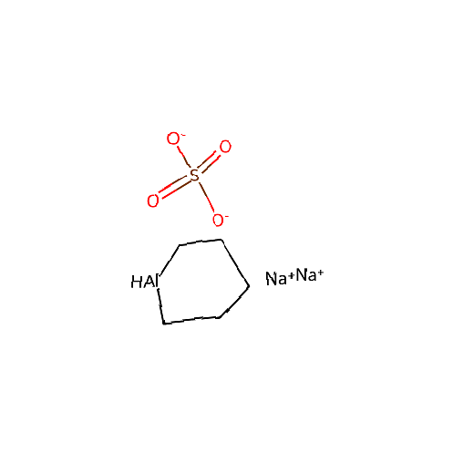 C1C[CH2][AlH][CH2]C1.O=S(=O)([O-])[O-].[Na+].[Na+]